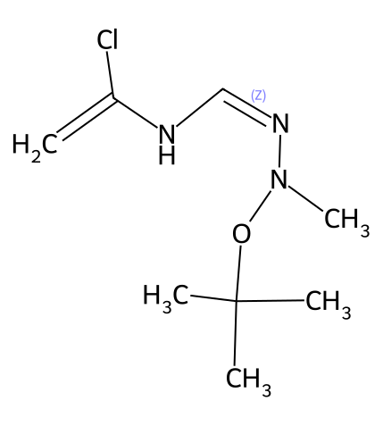 C=C(Cl)N/C=N\N(C)OC(C)(C)C